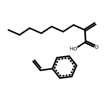 C=C(CCCCCCC)C(=O)O.C=Cc1ccccc1